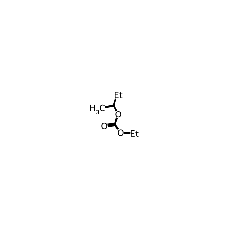 CCOC(=O)OC(C)CC